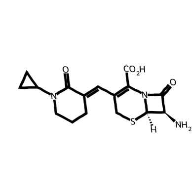 N[C@@H]1C(=O)N2C(C(=O)O)=C(/C=C3\CCCN(C4CC4)C3=O)CS[C@H]12